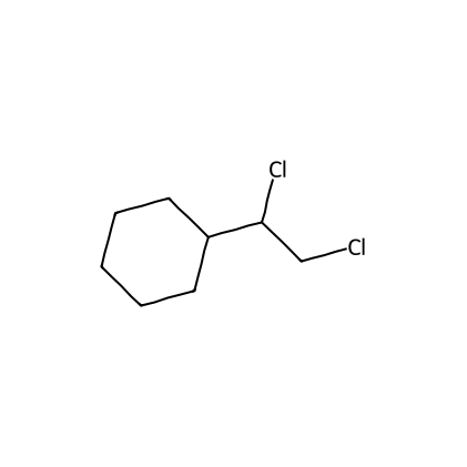 ClCC(Cl)C1CCCCC1